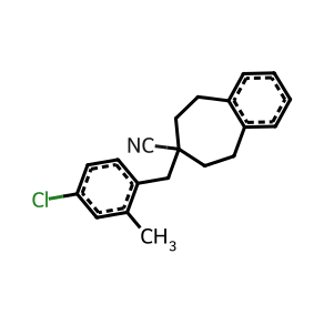 Cc1cc(Cl)ccc1CC1(C#N)CCc2ccccc2CC1